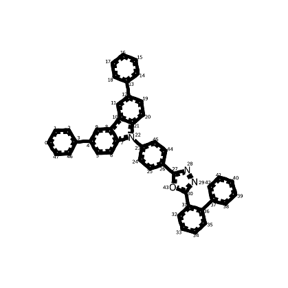 c1ccc(-c2ccc3c(c2)c2cc(-c4ccccc4)ccc2n3-c2ccc(-c3nnc(-c4ccccc4-c4ccccc4)o3)cc2)cc1